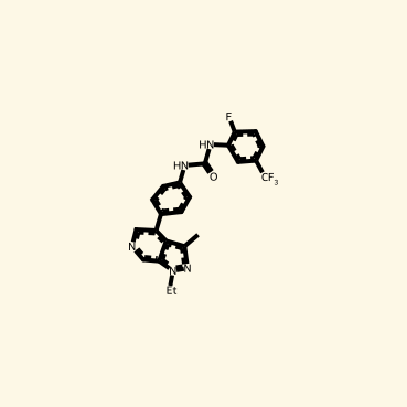 CCn1nc(C)c2c(-c3ccc(NC(=O)Nc4cc(C(F)(F)F)ccc4F)cc3)cncc21